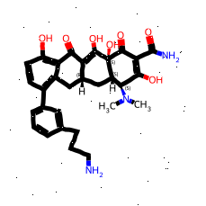 CN(C)[C@@H]1C(O)=C(C(N)=O)C(=O)[C@@]2(O)C(O)=C3C(=O)c4c(O)ccc(-c5cccc(CCCN)c5)c4C[C@H]3C[C@@H]12